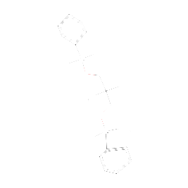 CC(C)(CO[Si](C)(C)c1ccccc1)CO[Si](C)(C)c1ccccc1